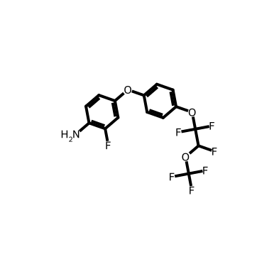 Nc1ccc(Oc2ccc(OC(F)(F)C(F)OC(F)(F)F)cc2)cc1F